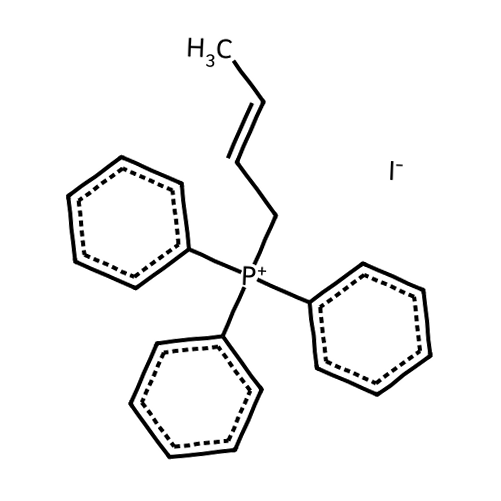 C/C=C/C[P+](c1ccccc1)(c1ccccc1)c1ccccc1.[I-]